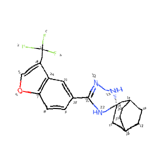 FC(F)(F)c1coc2ccc(C3=NN[C@]4(CC5CCC4CC5)N3)cc12